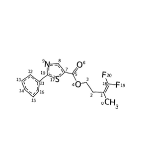 CC(CCOC(=O)c1cnc(-c2ccccc2)s1)=C(F)F